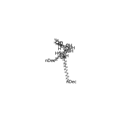 CCCCCCCCCCCCCCCCCCCCCCCCCCN[C@@H](CO[C@H]1O[C@H](COC(=O)Nc2ccc(C)cc2)[C@H](O)[C@H](O)[C@H]1O)[C@H](O)[C@H](O)CCCCCCCCCCCCCC